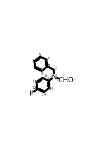 O=[C]N(Cc1ccccc1)c1ccc(F)cc1